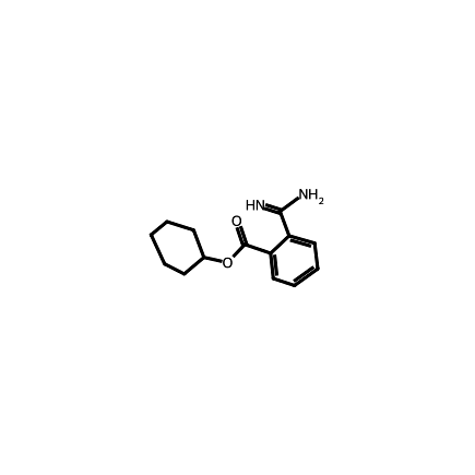 N=C(N)c1ccccc1C(=O)OC1CCCCC1